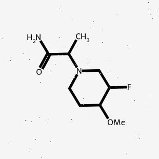 COC1CCN(C(C)C(N)=O)CC1F